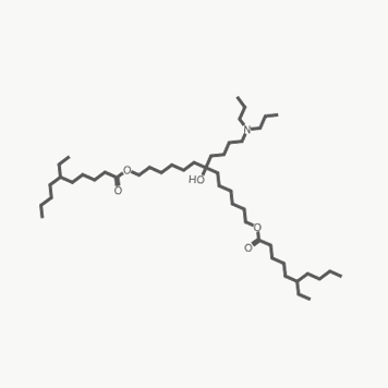 CCCCC(CC)CCCCC(=O)OCCCCCCC(O)(CCCCCCOC(=O)CCCCC(CC)CCCC)CCCCN(CCC)CCC